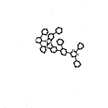 c1ccc(-c2ccc3c(c2)n2c4cc(-c5ccc(-c6cc(-c7ccccc7)nc(-c7ccccc7)n6)cc5-c5ccccc5)ccc4nc2n3-c2c(-c3ccccc3)cccc2-c2ccccc2)cc1